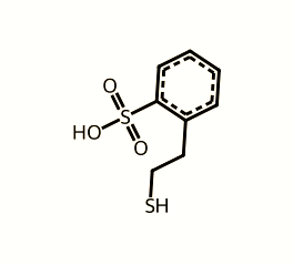 O=S(=O)(O)c1ccccc1CCS